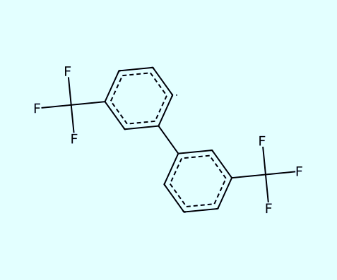 FC(F)(F)c1cc[c]c(-c2cccc(C(F)(F)F)c2)c1